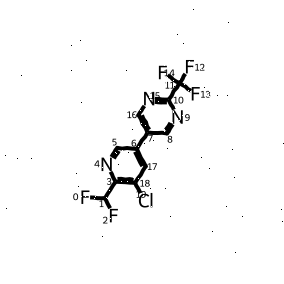 FC(F)c1ncc(-c2cnc(C(F)(F)F)nc2)cc1Cl